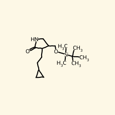 CC(C)(C)[Si](C)(C)OCC1CNC(=O)C1CCC1CC1